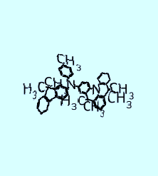 Cc1ccc(N(c2ccc3c(c2)C(C)(C)C2=C3CCC=C2)c2ccc3c(c2)C(C)(C)c2cccc4c2N3C2=C(CCC=C2)C4(C)C)cc1